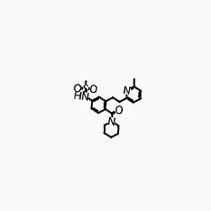 Cc1cccc(CCc2cc(NS(C)(=O)=O)ccc2C(=O)N2CCCCC2)n1